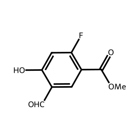 COC(=O)c1cc(C=O)c(O)cc1F